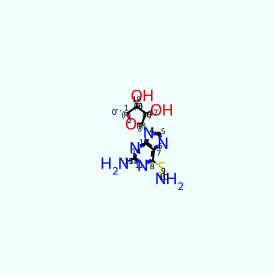 C[C@H]1O[C@@H](n2cnc3c(SN)nc(N)nc32)[C@H](O)[C@@H]1O